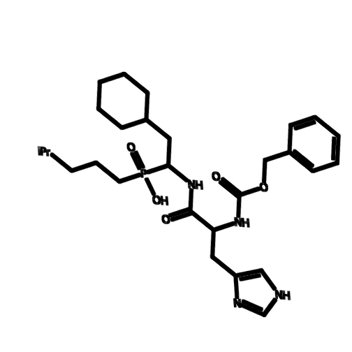 CC(C)CCCP(=O)(O)C(CC1CCCCC1)NC(=O)C(Cc1c[nH]cn1)NC(=O)OCc1ccccc1